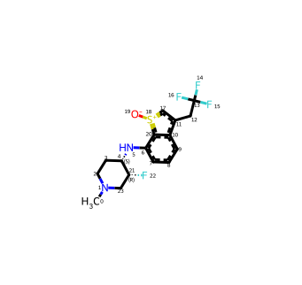 CN1CC[C@H](Nc2cccc3c(CC(F)(F)F)c[s+]([O-])c23)[C@H](F)C1